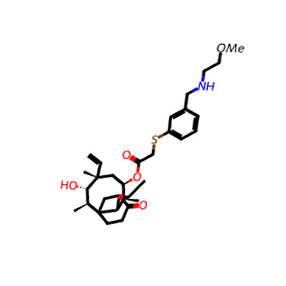 C=C[C@]1(C)C[C@@H](OC(=O)CSc2cccc(CNCCOC)c2)[C@]2(C)C(C)CC34CC(CCC3=O)(C42)[C@@H](C)[C@@H]1O